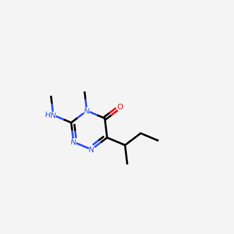 CCC(C)c1nnc(NC)n(C)c1=O